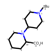 CC(C)(C)N1CCC(N2CCCCC2C(=O)O)CC1